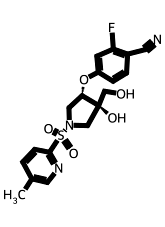 Cc1ccc(S(=O)(=O)N2C[C@H](Oc3ccc(C#N)c(F)c3)[C@](O)(CO)C2)nc1